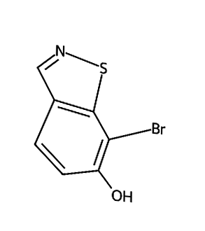 Oc1ccc2cnsc2c1Br